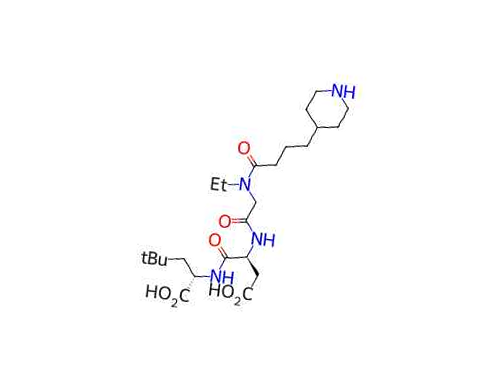 CCN(CC(=O)N[C@@H](CC(=O)O)C(=O)N[C@@H](CC(C)(C)C)C(=O)O)C(=O)CCCC1CCNCC1